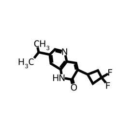 CC(C)c1cnc2cc(C3CC(F)(F)C3)c(=O)[nH]c2c1